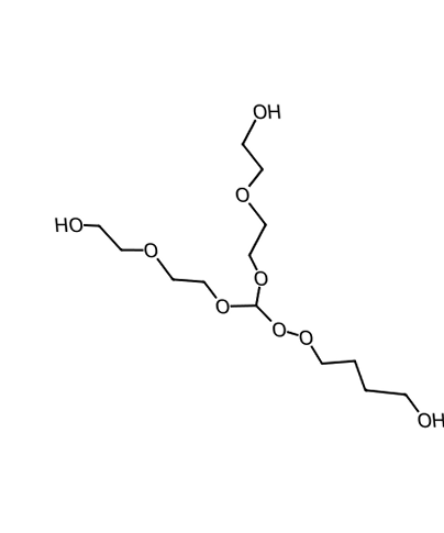 OCCCCOOC(OCCOCCO)OCCOCCO